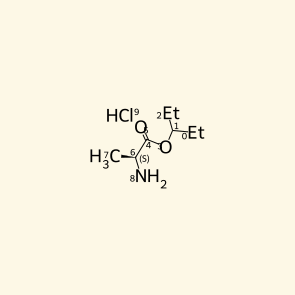 CCC(CC)OC(=O)[C@H](C)N.Cl